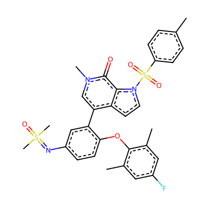 Cc1ccc(S(=O)(=O)n2ccc3c(-c4cc(N=S(C)(C)=O)ccc4Oc4c(C)cc(F)cc4C)cn(C)c(=O)c32)cc1